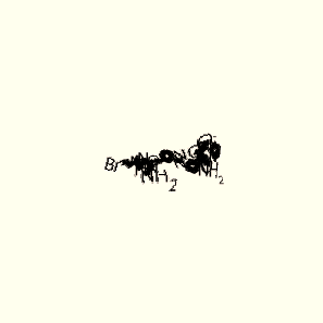 N#Cc1c(-c2cc(N=Nc3cccc(COc4nc(N)nc5c4ncn5CCBr)c3)ccc2N)[n+]([O-])c2ccccc2[n+]1[O-]